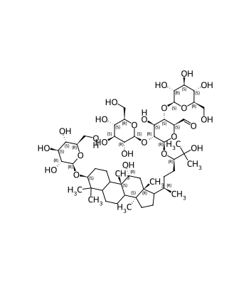 C[C@H](CC[C@@H](O[C@@H]1O[C@H](C=O)[C@@H](O[C@@H]2O[C@H](CO)[C@@H](O)[C@H](O)[C@H]2O)[C@H](O)[C@H]1O[C@@H]1O[C@H](CO)[C@@H](O)[C@H](O)[C@H]1O)C(C)(C)O)C1CC[C@@]2(C)C3CCC4C(CC[C@H](O[C@@H]5O[C@H](CO)[C@@H](O)[C@H](O)[C@H]5O)C4(C)C)[C@]3(C)[C@H](O)C[C@]12C